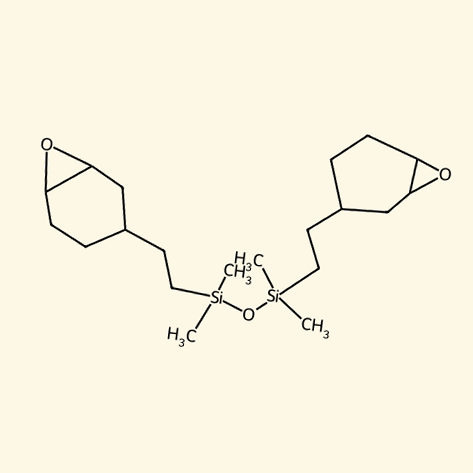 C[Si](C)(CCC1CCC2OC2C1)O[Si](C)(C)CCC1CCC2OC2C1